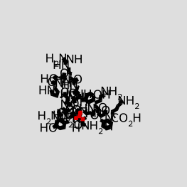 C[C@@H](O)[C@H](NC(=O)[C@H](Cc1ccc(O)cc1)NC(=O)CNC(=O)[C@H](CCCNC(=N)N)NC(=O)[C@H](CO)NC(=O)[C@@H]1CCCN1)C(=O)N[C@@H](CC(N)=O)C(=O)N[C@@H](Cc1ccc(O)cc1)C(=O)N[C@@H](CC(N)=O)C(=O)N[C@@H](CCC(N)=O)C(=O)N[C@@H](CCCCN)C(=O)N[C@@H](Cc1ccccc1)C(=O)N[C@@H](CCCCN)C(=O)O